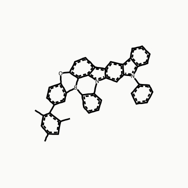 Cc1cc(C)c(-c2ccc3c(c2)B2c4ccccc4-n4c5cc6c(cc5c5ccc(c2c54)O3)c2ccccc2n6-c2ccccc2)c(C)c1